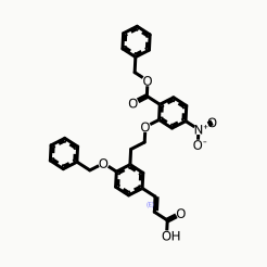 O=C(O)/C=C/c1ccc(OCc2ccccc2)c(CCOc2cc([N+](=O)[O-])ccc2C(=O)OCc2ccccc2)c1